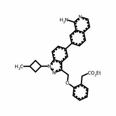 CCOC(=O)Cc1ccccc1OCc1nn(C2CC(C)C2)c2ccc(-c3ccc4ccnc(N)c4c3)cc12